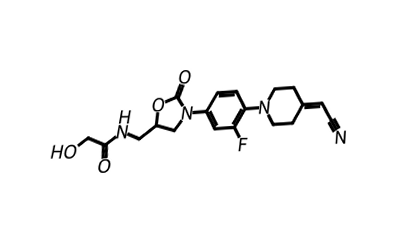 N#CC=C1CCN(c2ccc(N3CC(CNC(=O)CO)OC3=O)cc2F)CC1